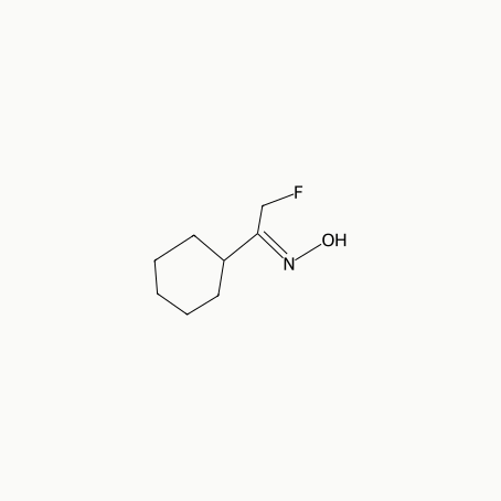 O/N=C(\CF)C1CCCCC1